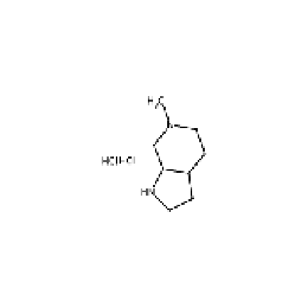 CN1CCC2CCNC2C1.Cl.Cl